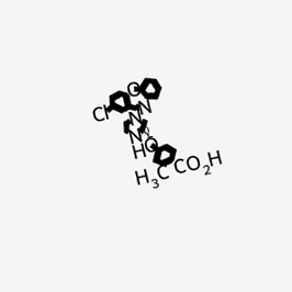 Cc1cc(OC[C@H]2CN(C3=Nc4ccccc4Oc4ccc(Cl)cc43)CCN2)ccc1C(=O)O